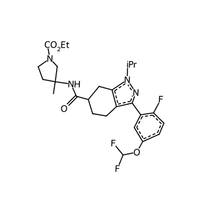 CCOC(=O)N1CCC(C)(NC(=O)C2CCc3c(-c4cc(OC(F)F)ccc4F)nn(C(C)C)c3C2)C1